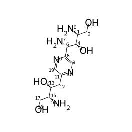 N[C@@H](CO)[C@@H](O)[C@@H](N)c1cnc(C[C@H](O)[C@@H](N)CO)cn1